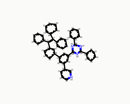 c1ccc(C(=C(c2ccccc2)c2cccc(-c3cc(-c4cccnc4)cc(-c4nc(-c5ccccc5)nc(-c5ccccc5)n4)c3)c2)c2ccccc2)cc1